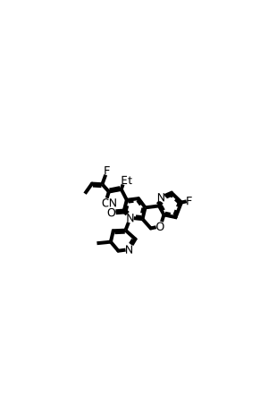 C/C=C(F)\C(C#N)=C(/CC)c1cc2c(n(C3=CC(C)CN=C3)c1=O)COc1cc(F)cnc1-2